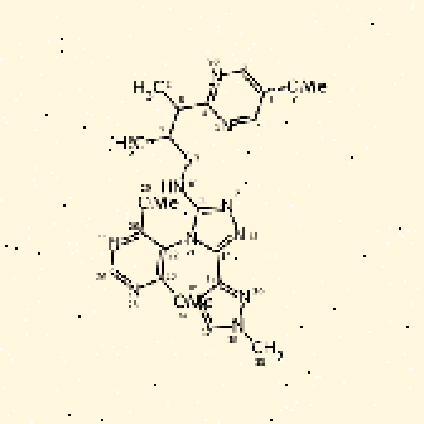 COc1cnc(C(C)C(C)SNc2nnc(-c3ccn(C)n3)n2-c2c(OC)ncnc2OC)nc1